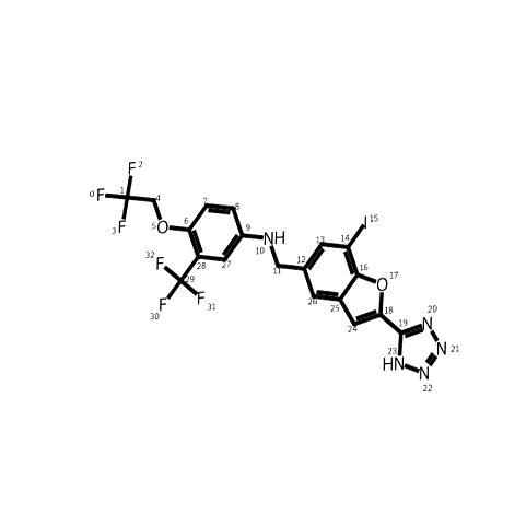 FC(F)(F)COc1ccc(NCc2cc(I)c3oc(-c4nnn[nH]4)cc3c2)cc1C(F)(F)F